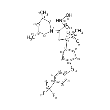 C[C@@H]1CN([C@@H](CN(c2ccc(Oc3ccc(C(F)(F)F)cc3)cc2)S(C)(=O)=O)C(=O)NO)C[C@H](C)O1